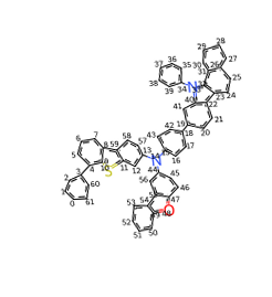 c1ccc(-c2cccc3c2sc2cc(N(c4ccc(-c5ccc6c7ccc8ccccc8c7n(-c7ccccc7)c6c5)cc4)c4ccc5oc6ccccc6c5c4)ccc23)cc1